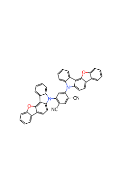 N#Cc1cc(C#N)c(-n2c3ccccc3c3c4oc5ccccc5c4ccc32)cc1-n1c2ccccc2c2c3oc4ccccc4c3ccc21